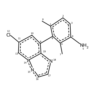 Cc1ccc(N)c(C)c1-c1cc(Cl)cc2nccnc12